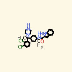 CC1(NC(=O)c2cc3ccccc3[nH]2)CCC(C(C)(c2cccc(Cl)c2Cl)N2CCNCC2)CC1